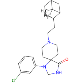 CC1(C)C2CCC(CCN3CCC4(CC3)C(=O)NCN4c3cccc(Cl)c3)C1C2